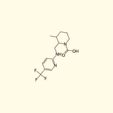 CC1CCCN(C(=O)O)C1CNc1ccc(C(F)(F)F)cn1